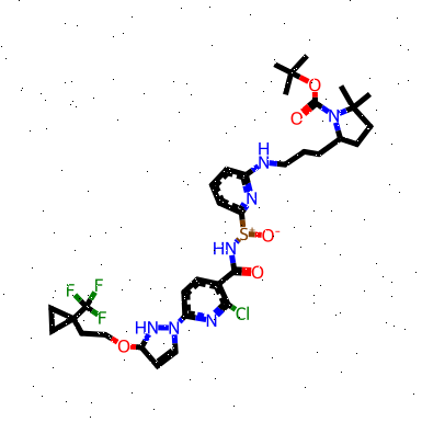 CC(C)(C)OC(=O)N1C(CCCNc2cccc([S+]([O-])NC(=O)c3ccc(N4C=CC(OCCC5(C(F)(F)F)CC5)N4)nc3Cl)n2)CCC1(C)C